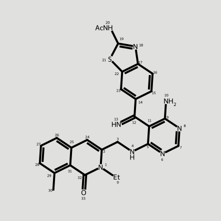 CCn1c(CNc2ncnc(N)c2C(=N)c2ccc3nc(NC(C)=O)sc3c2)cc2cccc(C)c2c1=O